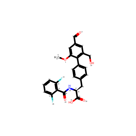 COc1cc(C=O)cc(CO)c1-c1ccc(C[C@H](NC(=O)c2c(F)cccc2F)C(=O)O)cc1